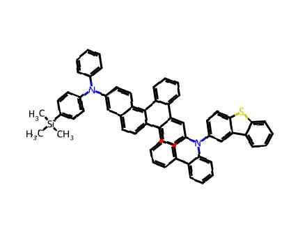 C[Si](C)(C)c1ccc(N(c2ccccc2)c2ccc3c(ccc4c5ccc(N(c6ccc7sc8ccccc8c7c6)c6ccccc6-c6ccccc6)cc5c5ccccc5c34)c2)cc1